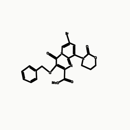 COC(=O)c1nc2c(N3CCCOC3=O)cc(Br)cn2c(=O)c1OCc1ccccc1